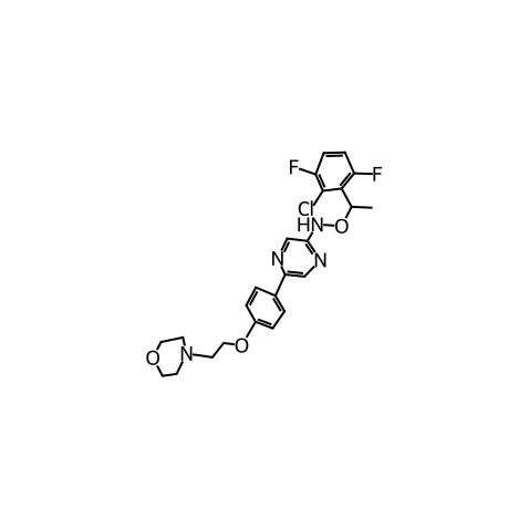 CC(ONc1cnc(-c2ccc(OCCN3CCOCC3)cc2)cn1)c1c(F)ccc(F)c1Cl